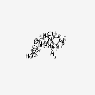 Cc1nc(N[C@@H](C)c2cccc(C(F)F)c2F)c2cn(C34CCC(O)(CC3)CC4)c(=O)cc2n1